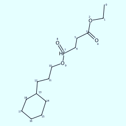 CCOC(=O)CC[PH](=O)OCCCC1CCCCC1